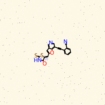 N#Cc1ccccc1C#Cc1cncc2cc(/C=C3\SC(=S)NC3=O)oc12